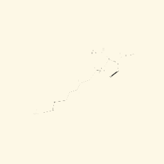 CCCCCCCCCCCCCCCCCCN1C=CN(CCCCCCCCCC)C1CCCCCCCCC